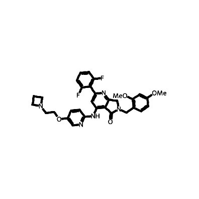 COc1ccc(CN2Cc3nc(-c4c(F)cccc4F)cc(Nc4ccc(OCCN5CCC5)cn4)c3C2=O)c(OC)c1